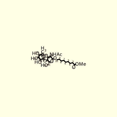 COC(=O)CCCCCCCCO[C@@H]1O[C@H](CO)[C@@H](O[C@@H]2O[C@@H](C)[C@@H](O)[C@@H](O)[C@@H]2O)[C@H](O)[C@H]1NC(C)=O